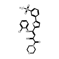 CS(=O)(=O)c1cccc(-c2ccc(/C(=C/C(=N)C(=O)N3CCOCC3)Nc3ccccc3Cl)s2)c1